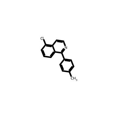 Cc1ccc(-c2nccc3c(Cl)cccc23)cc1